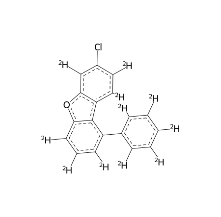 [2H]c1c([2H])c([2H])c(-c2c([2H])c([2H])c([2H])c3oc4c([2H])c(Cl)c([2H])c([2H])c4c23)c([2H])c1[2H]